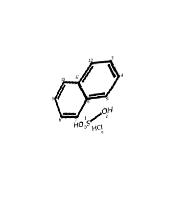 Cl.O=S(=O)(O)O.c1ccc2ccccc2c1